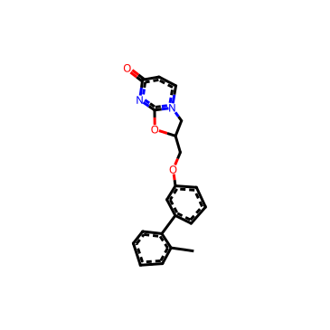 Cc1ccccc1-c1cccc(OCC2Cn3ccc(=O)nc3O2)c1